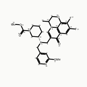 COc1cc(CN(Cc2cn3c4c(c(F)c(F)cc4c2=O)OCC3C)[C@H]2CCCN(C(=O)OC(C)(C)C)C2)ccn1